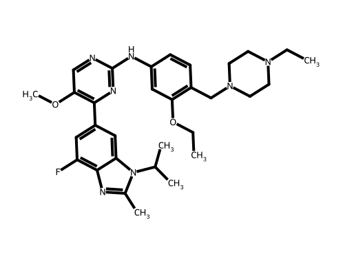 CCOc1cc(Nc2ncc(OC)c(-c3cc(F)c4nc(C)n(C(C)C)c4c3)n2)ccc1CN1CCN(CC)CC1